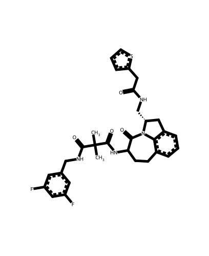 CC(C)(C(=O)NCc1cc(F)cc(F)c1)C(=O)NC1CCc2cccc3c2N(C1=O)[C@H](CNC(=O)Cc1cccs1)C3